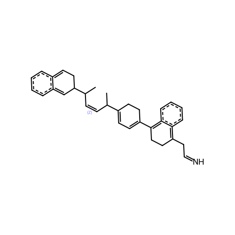 CC(/C=C\C(C)C1C=c2ccccc2=CC1)C1=CC=C(C2=c3ccccc3=C(CC=N)CC2)CC1